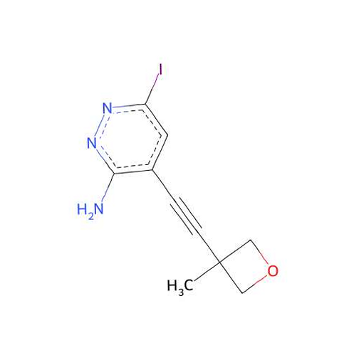 CC1(C#Cc2cc(I)nnc2N)COC1